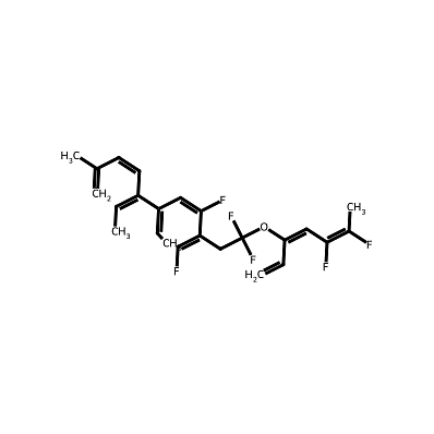 C=C/C(=C\C(F)=C(/C)F)OC(F)(F)CC(=C\F)/C(F)=C\C(=C/C)C(\C=C/C(=C)C)=C/C